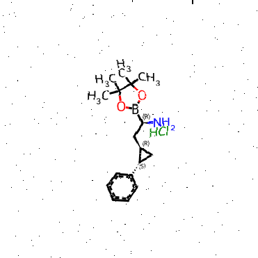 CC1(C)OB([C@@H](N)C[C@H]2C[C@@H]2c2ccccc2)OC1(C)C.Cl